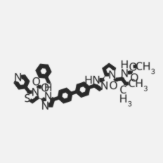 COC(=O)NC(C(=O)N1CCC[C@H]1c1ncc(-c2ccc(-c3ccc(-c4cnc([C@@H]5CSC(c6ccncc6)N5C(=O)OCc5ccccc5)[nH]4)cc3)cc2)[nH]1)C(C)C